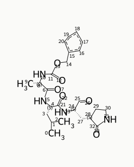 CC(C)C[C@H](NC(=O)[C@H](C)NC(=O)OCc1ccccc1)C(=O)N[C@H](C=O)C[C@@H]1CCNC1=O